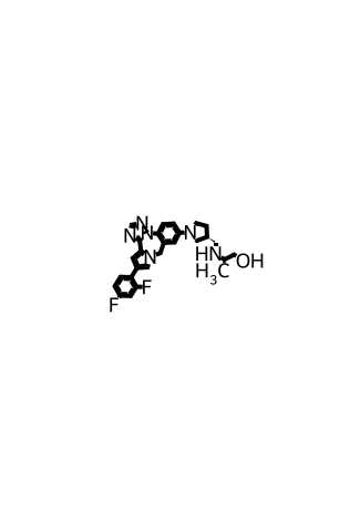 C[C@H](CO)NC[C@H]1CCN(c2ccc3c(c2)Cn2cc(-c4ccc(F)cc4F)cc2-c2ncnn2-3)C1